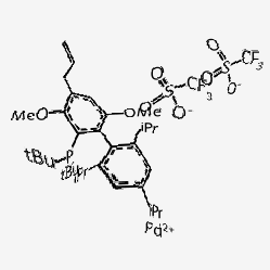 C=CCc1cc(OC)c(-c2c(C(C)C)cc(C(C)C)cc2C(C)C)c(P(C(C)(C)C)C(C)(C)C)c1OC.O=S(=O)([O-])C(F)(F)F.O=S(=O)([O-])C(F)(F)F.[Pd+2]